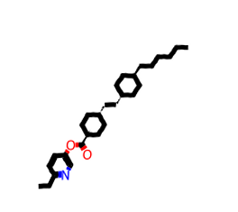 CCCCCC[C@H]1CC[C@H](CC[C@H]2CC[C@H](C(=O)Oc3ccc(CC)nc3)CC2)CC1